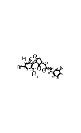 Cc1cc(Br)cc(C)c1C1C(=O)CC(CC(=O)NCc2cccc(F)c2)C1=O